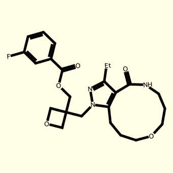 CCc1nn(CC2(COC(=O)c3cccc(F)c3)COC2)c2c1C(=O)NCCCOCCC2